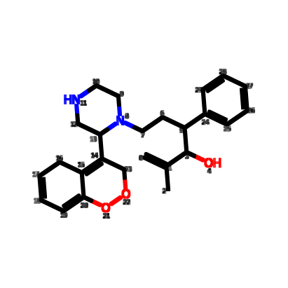 C=C(C)C(O)C(CCN1CCNCC1C1=C2CC=CC=C2OOC1)c1ccccc1